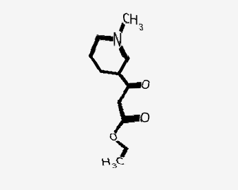 CCOC(=O)CC(=O)C1CCCN(C)C1